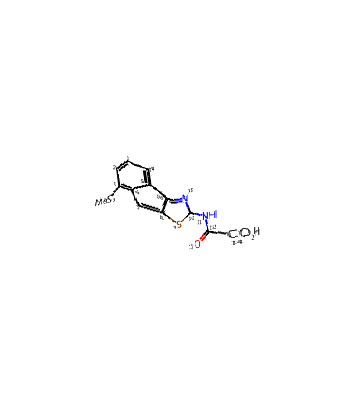 CSc1cccc2c1C=C1SC(NC(=O)C(=O)O)N=C12